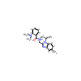 CCCC(CCC)n1c(CNC(=O)c2ccccc2N(C)C)nc2cc(C(F)(F)F)ccc21